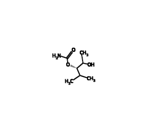 CC(C)[C@H](OC(N)=O)C(C)O